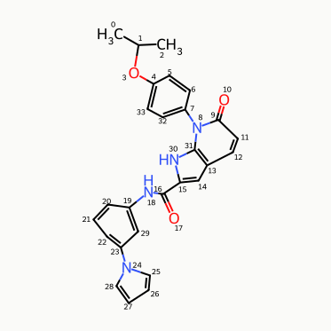 CC(C)Oc1ccc(-n2c(=O)ccc3cc(C(=O)Nc4cccc(-n5cccc5)c4)[nH]c32)cc1